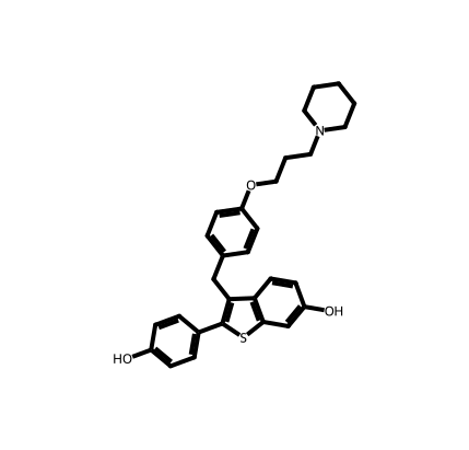 Oc1ccc(-c2sc3cc(O)ccc3c2Cc2ccc(OCCCN3CCCCC3)cc2)cc1